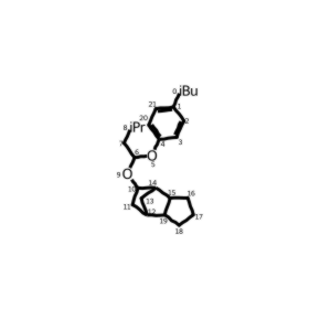 CCC(C)c1ccc(OC(CC(C)C)OC2CC3CC2C2CCCC32)cc1